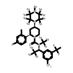 [2H]C([2H])([2H])[C@H](c1cc(C(C)(F)F)cc(C(F)(F)F)c1)N(C(=O)N1CC[C@H](N2C([2H])([2H])C([2H])([2H])N(C(C)=O)C([2H])([2H])C2([2H])[2H])C[C@@H]1c1ccc(F)cc1C)C([2H])([2H])[2H]